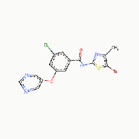 Cc1nc(NC(=O)c2cc(Cl)cc(Oc3cncnc3)c2)sc1Br